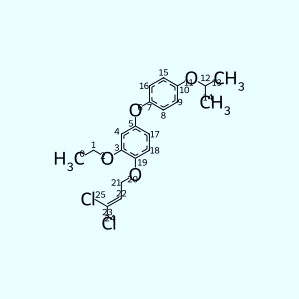 CCOc1cc(Oc2ccc(OC(C)C)cc2)ccc1OCC=C(Cl)Cl